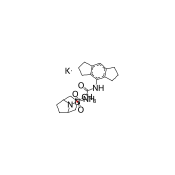 CN1CC2CCC(C1)N2S(=O)(=O)NC(=O)Nc1c2c(cc3c1CCC3)CCC2.[K]